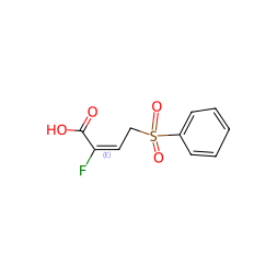 O=C(O)/C(F)=C\CS(=O)(=O)c1ccccc1